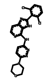 Clc1cccc(Cl)c1-c1nc2ccnc(Nc3ccc(N4CCOCC4)nn3)c2[nH]1